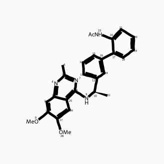 COc1cc2nc(C)nc(N[C@H](C)c3cccc(-c4ccccc4NC(C)=O)c3)c2cc1OC